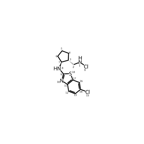 ClNC[C@H]1CCC[C@@H]1Nc1nc2ccc(Cl)cc2s1